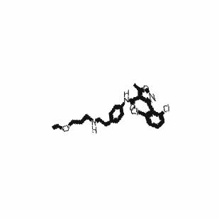 CCOCCCNCCc1ccc(NC(=O)c2c(-c3c(Cl)cccc3Cl)noc2C)cc1